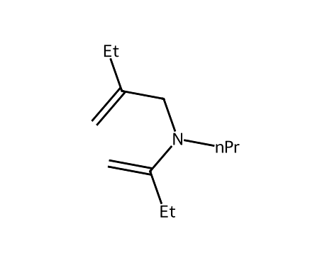 C=C(CC)CN(CCC)C(=C)CC